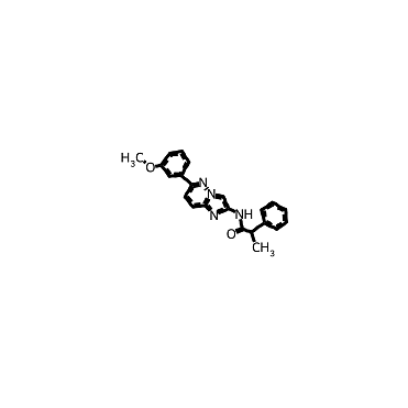 COc1cccc(-c2ccc3nc(NC(=O)C(C)c4ccccc4)cn3n2)c1